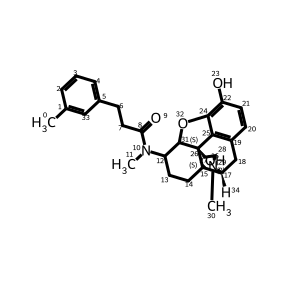 Cc1cccc(CCC(=O)N(C)C2CC[C@@]3(O)[C@H]4Cc5ccc(O)c6c5[C@@]3(CCN4C)C2O6)c1